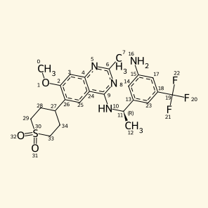 COc1cc2nc(C)nc(N[C@H](C)c3cc(N)cc(C(F)(F)F)c3)c2cc1C1CCS(=O)(=O)CC1